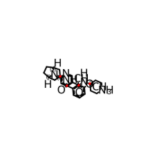 COc1cccc(C(=O)N[C@H]2C[C@H]3CC[C@@H](C2)N3c2ccc(C(=O)NC3CCNCC3)cn2)c1C